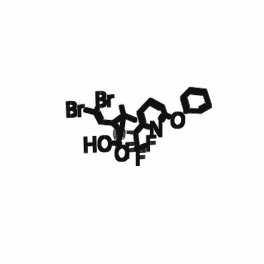 CC1(C)C(C=C(Br)Br)[C@@]1(C(=O)O)C(c1cccc(Oc2ccccc2)n1)C(F)(F)F